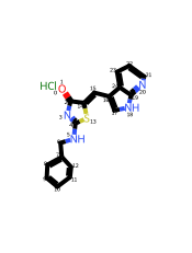 Cl.O=C1N=C(NCc2ccccc2)S/C1=C\c1c[nH]c2ncccc12